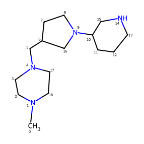 CN1CCN(CC2CCN(C3CCCNC3)C2)CC1